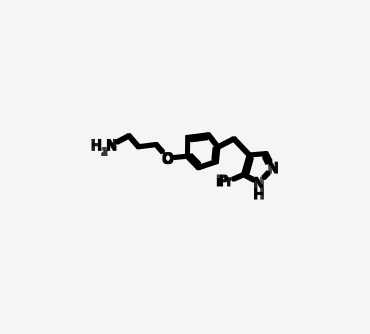 CC(C)c1[nH]ncc1Cc1ccc(OCCCN)cc1